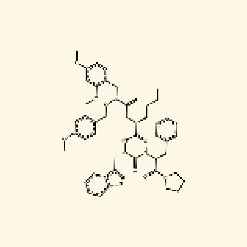 CCCC[C@H](CC(=O)N(Cc1ccc(OC)cc1OC)OCc1ccc(OC)cc1)C(=O)N[C@@H](Cc1csc2ccccc12)C(=O)N[C@@H](Cc1ccccc1)C(=O)N1CCCC1